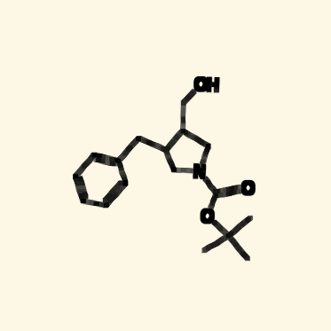 CC(C)(C)OC(=O)N1CC(CO)C(Cc2ccccc2)C1